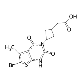 Cc1c(Br)sc2[nH]c(=O)n(C3CC(CC(=O)O)C3)c(=O)c12